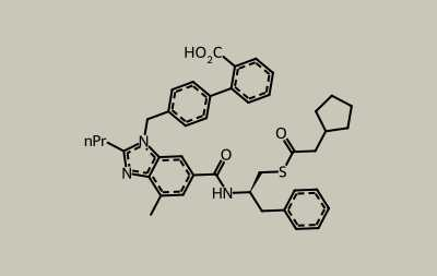 CCCc1nc2c(C)cc(C(=O)N[C@@H](CSC(=O)CC3CCCC3)Cc3ccccc3)cc2n1Cc1ccc(-c2ccccc2C(=O)O)cc1